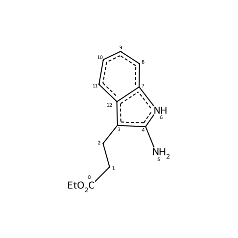 CCOC(=O)CCc1c(N)[nH]c2ccccc12